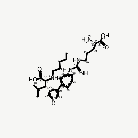 CCCCCN[C@@H](CC(C)C)C(=O)O.N=C(N)NCCC[C@H](N)C(=O)O.c1ccc(-c2cnco2)cc1